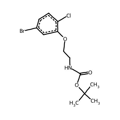 CC(C)(C)OC(=O)NCCOc1cc(Br)ccc1Cl